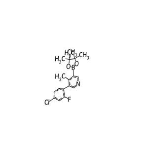 Cc1c(B2OC(C)(C)C(C)(C)O2)cncc1-c1ccc(Cl)cc1F